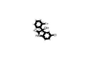 O=C1Nc2ccc(Cl)cc2C1(O)c1ccccc1F